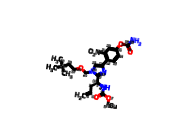 C=CC[C@H](NC(=O)OCCCC)c1nc(-c2ccc(OC(N)=O)cc2[N+](=O)[O-])cn1COCC[Si](C)(C)C